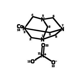 C1N2CN3CN1CN(C2)C3.O=[N+]([O-])[O-].[Co]